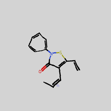 C=Cc1sn(-c2ccccc2)c(=O)c1/C=C\C